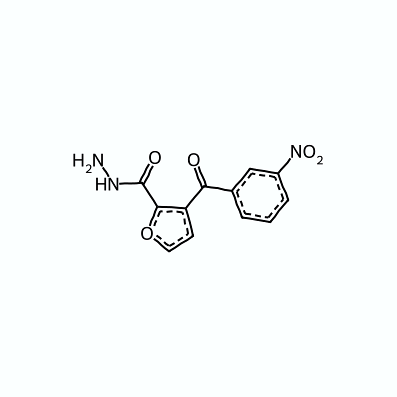 NNC(=O)c1occc1C(=O)c1cccc([N+](=O)[O-])c1